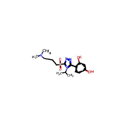 CC(C)n1c(-c2ccc(O)cc2O)nnc1S(=O)(=O)CCCN(C)C